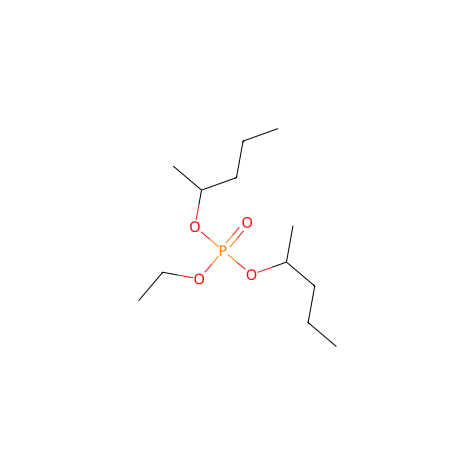 CCCC(C)OP(=O)(OCC)OC(C)CCC